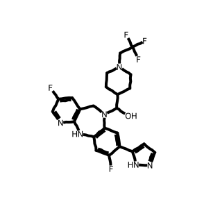 OC(C1CCN(CC(F)(F)F)CC1)N1Cc2cc(F)cnc2Nc2cc(F)c(-c3ccn[nH]3)cc21